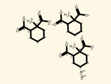 CC1(C(=O)[O-])CCCCC1C(=O)[O-].CC1(C(=O)[O-])CCCCC1C(=O)[O-].CC1(C(=O)[O-])CCCCC1C(=O)[O-].[Al+3].[Al+3]